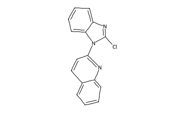 Clc1nc2ccccc2n1-c1ccc2ccccc2n1